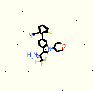 N#Cc1cccc(F)c1-c1ccc2c([C@H](N)C(F)(F)F)cn(C3CCOCC3)c2c1